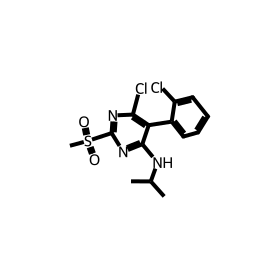 CC(C)Nc1nc(S(C)(=O)=O)nc(Cl)c1-c1ccccc1Cl